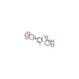 O=C1CC[C@H](c2c(F)cc(N3CCC4(CC3)OCCO4)cc2F)C(=O)N1